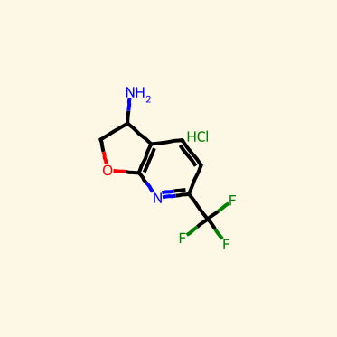 Cl.NC1COc2nc(C(F)(F)F)ccc21